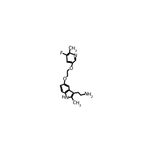 Cc1ncc(OCCOc2ccc3[nH]c(C)c(CCN)c3c2)cc1F